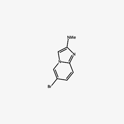 CNc1cn2cc(Br)ccc2n1